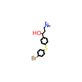 CN(C)CCC(O)c1ccc(Sc2ccc(Br)cc2)cc1